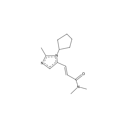 Cc1ncc(C=CC(=O)N(C)C)n1C1CCCC1